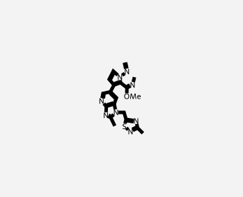 C=Nn1ccc(-c2cnc3nc(C)n(Cc4nc(C)ns4)c3c2)c1/C(=N\C)OC